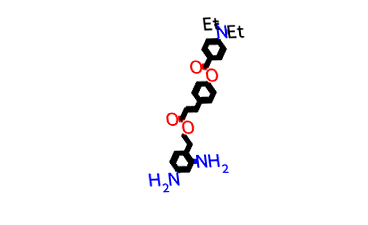 CCN(CC)c1ccc(C(=O)Oc2ccc(C=CC(=O)OCCc3ccc(N)cc3N)cc2)cc1